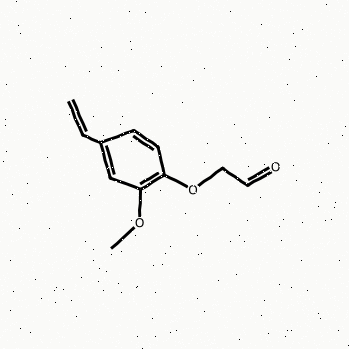 C=Cc1ccc(OCC=O)c(OC)c1